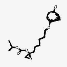 CC(C)OC(=O)OC1(CCCCCCOc2ccc(Cl)cc2)CO1